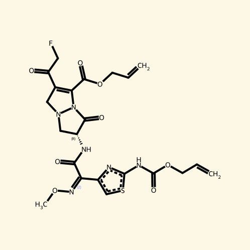 C=CCOC(=O)Nc1nc(/C(=N/OC)C(=O)N[C@@H]2CN3CC(C(=O)CF)=C(C(=O)OCC=C)N3C2=O)cs1